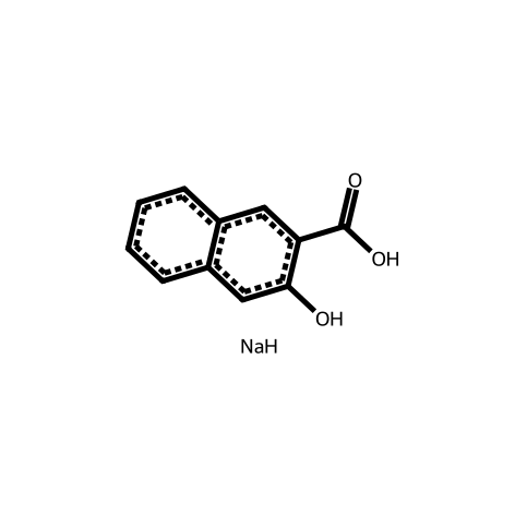 O=C(O)c1cc2ccccc2cc1O.[NaH]